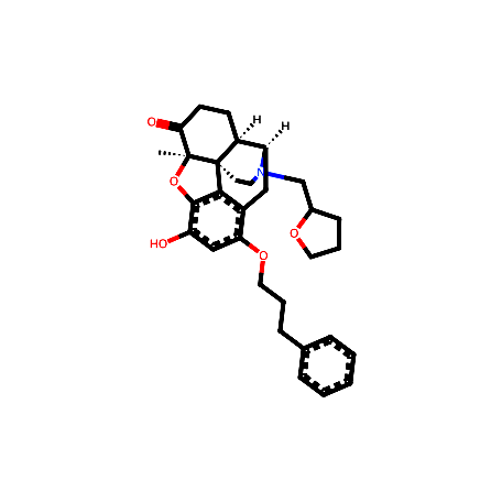 C[C@@]12Oc3c(O)cc(OCCCc4ccccc4)c4c3[C@@]13CCN(CC1CCCO1)[C@H](C4)[C@@H]3CCC2=O